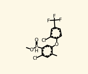 CO[PH](=O)c1cc(Oc2ccc(C(F)(F)F)cc2Cl)c(C)cc1Cl